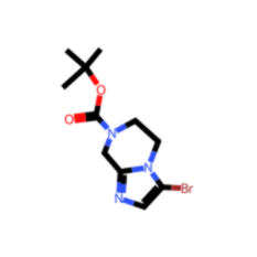 CC(C)(C)OC(=O)N1CCn2c(Br)cnc2C1